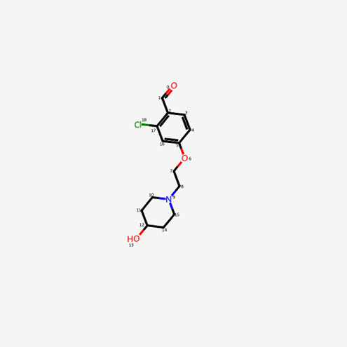 O=Cc1ccc(OCCN2CCC(O)CC2)cc1Cl